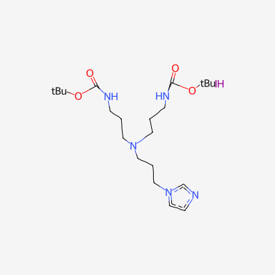 CC(C)(C)OC(=O)NCCCN(CCCNC(=O)OC(C)(C)C)CCCn1ccnc1.I